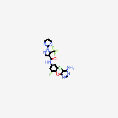 Nc1ncnc(Oc2ccc(NC(=O)c3cnn(-c4ncccn4)c3C(F)(F)F)cc2F)c1Cl